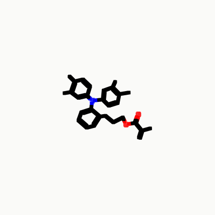 C=C(C)C(=O)OCCCc1ccccc1N(c1ccc(C)c(C)c1)c1ccc(C)c(C)c1